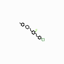 Cc1ccc([C@H]2CC[C@H](CCc3ccc(CCc4ccc(Cl)cc4)c(F)c3)CC2)cc1